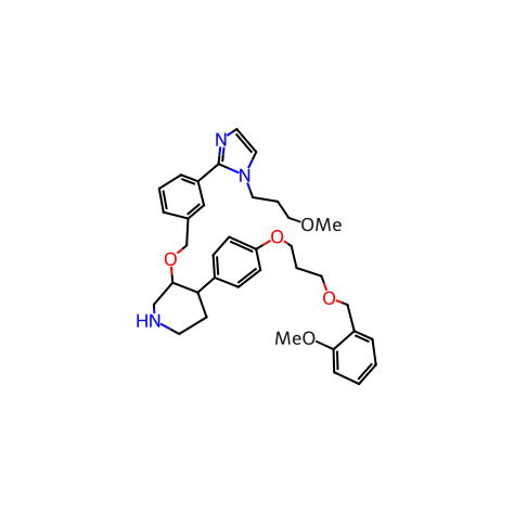 COCCCn1ccnc1-c1cccc(COC2CNCCC2c2ccc(OCCCOCc3ccccc3OC)cc2)c1